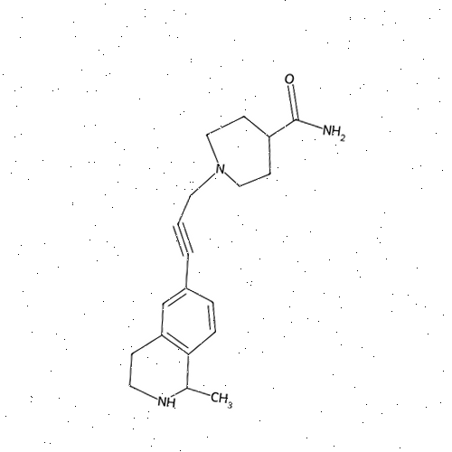 CC1NCCc2cc(C#CCN3CCC(C(N)=O)CC3)ccc21